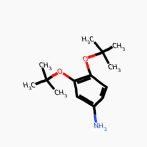 CC(C)(C)Oc1ccc(N)cc1OC(C)(C)C